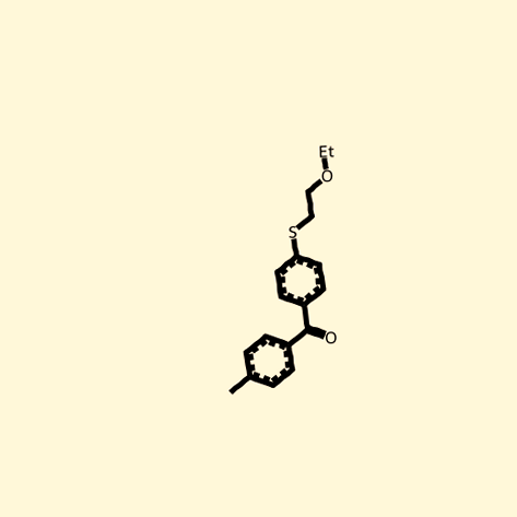 CCOCCSc1ccc(C(=O)c2ccc(C)cc2)cc1